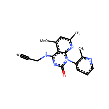 C#CCNc1nc(=O)n(-c2cccnc2C)c2nc(C(F)(F)F)cc(OC)c12